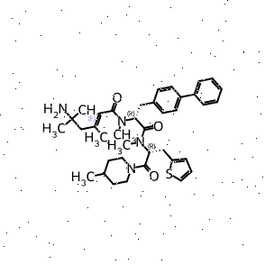 C/C(=C\C(=O)N(C)[C@H](Cc1ccc(-c2ccccc2)cc1)C(=O)N(C)[C@H](Cc1cccs1)C(=O)N1CCC(C)CC1)CC(C)(C)N